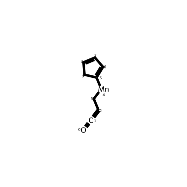 O=C=C[CH2][Mn][C]1=CC=CC1